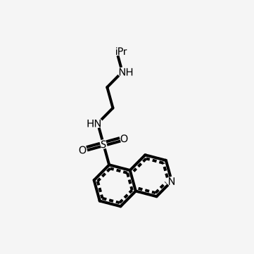 CC(C)NCCNS(=O)(=O)c1cccc2cnccc12